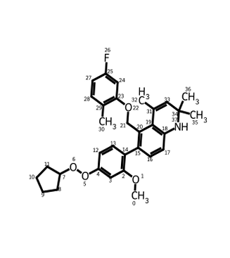 COc1cc(OOC2CCCC2)ccc1-c1ccc2c(c1COc1cc(F)ccc1C)C(C)=CC(C)(C)N2